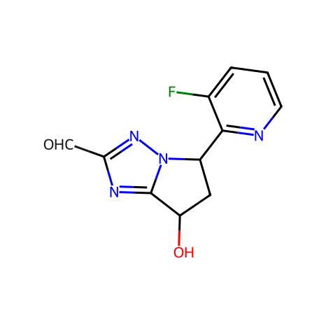 O=Cc1nc2n(n1)C(c1ncccc1F)CC2O